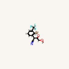 COCC(=O)C(C#N)c1cccc(C(F)(F)F)c1Br